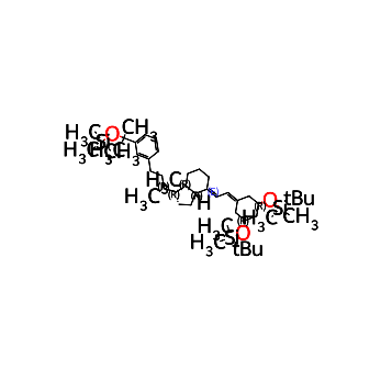 C[C@H](CCc1cccc(C(C)(C)O[Si](C)(C)C)c1)[C@H]1CC[C@H]2/C(=C/C=C3C[C@@H](O[Si](C)(C)C(C)(C)C)C[C@H](O[Si](C)(C)C(C)(C)C)C3)CCC[C@]12C